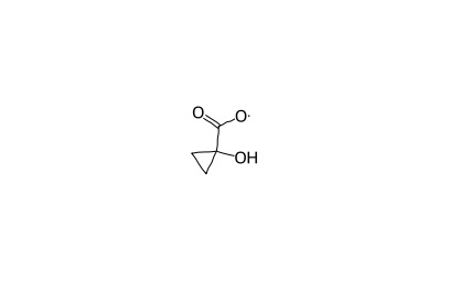 [O]C(=O)C1(O)CC1